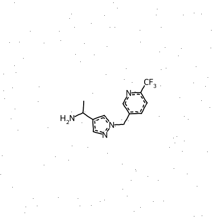 CC(N)c1cnn(Cc2ccc(C(F)(F)F)nc2)c1